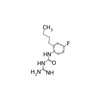 CCCCc1cc(F)ccc1NC(=O)NC(=N)N